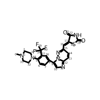 CN1CCN(c2ccc(-c3cnc4ccc(/C=C5\SC(=O)NC5=O)nn34)cc2C(F)(F)F)CC1